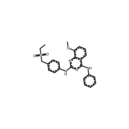 CCS(=O)(=O)Cc1ccc(Nc2nc(Nc3ccccc3)c3cccc(OC)c3n2)cc1